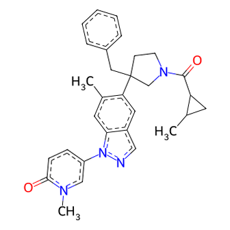 Cc1cc2c(cnn2-c2ccc(=O)n(C)c2)cc1C1(Cc2ccccc2)CCN(C(=O)C2CC2C)C1